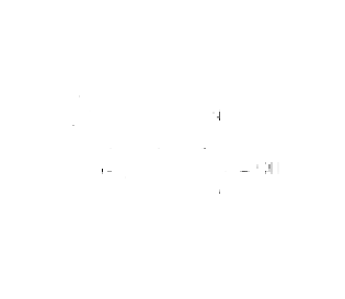 CC(C)(C)C(/C=C/C(N)C(=O)O)C(C)(C)C